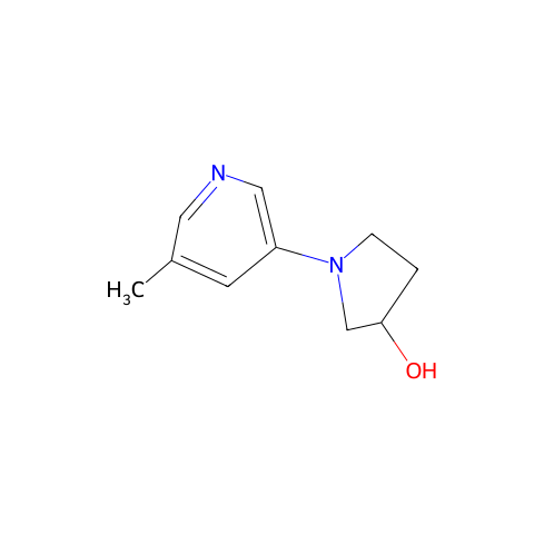 Cc1cncc(N2CCC(O)C2)c1